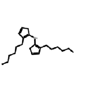 CCCCCCC1=[C]([Mn][C]2=C(CCCCCC)C=CC2)CC=C1